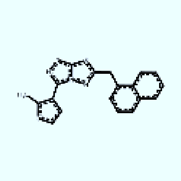 Cc1occc1-c1nnc2sc(Cc3cccc4ccccc34)nn12